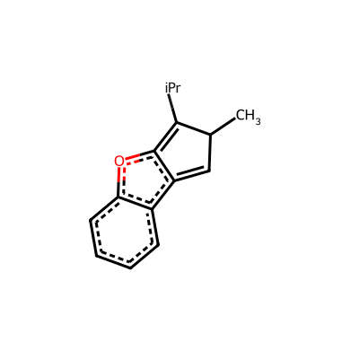 CC(C)C1=c2oc3ccccc3c2=CC1C